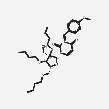 CCCCOC[C@H]1O[C@@H](N(/C=C\C(=O)/N=C\c2ccc(OC)cc2)C(C)=O)[C@](CO)(OCCCC)[C@@H]1OCCCC